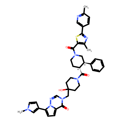 Cc1ccc(-c2nc(C)c(C(=O)N3CC[C@@H](C(=O)N4CCC(O)(Cn5cnn6c(-c7ccn(C)c7)ccc6c5=O)CC4)[C@H](c4ccccc4)C3)s2)cn1